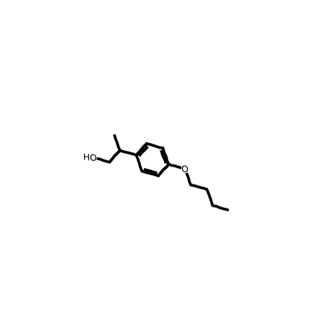 CCCCOc1ccc(C(C)CO)cc1